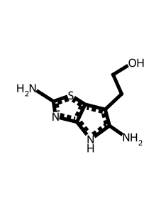 Nc1nc2[nH]c(N)c(CCO)c2s1